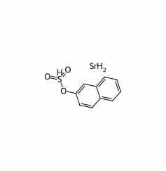 O=[SH](=O)Oc1ccc2ccccc2c1.[SrH2]